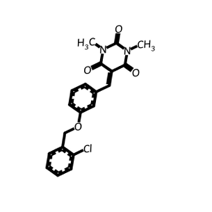 CN1C(=O)C(=Cc2cccc(OCc3ccccc3Cl)c2)C(=O)N(C)C1=O